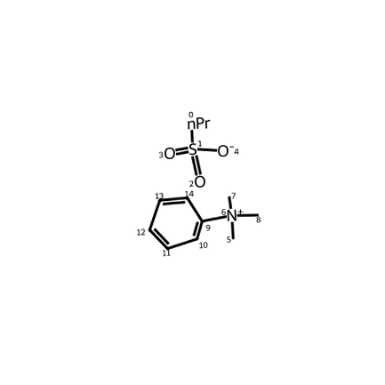 CCCS(=O)(=O)[O-].C[N+](C)(C)c1ccccc1